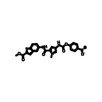 COC(=O)c1cc2cc(NC(=O)c3cc(NC(=O)Oc4ccc([N+](=O)[O-])cc4)cn3C)ccc2s1